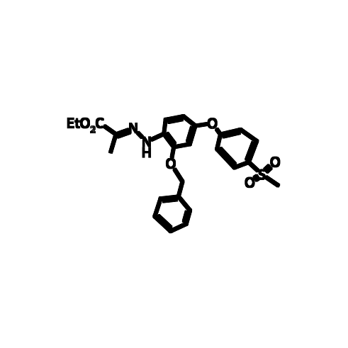 CCOC(=O)/C(C)=N/Nc1ccc(Oc2ccc(S(C)(=O)=O)cc2)cc1OCc1ccccc1